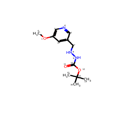 COc1cncc(CNNC(=O)OC(C)(C)C)c1